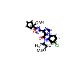 COCC(C)n1c(=O)c2c(-c3noc(C4(OC)CCCC4)n3)ncn2c2ccc(Cl)c(C#N)c21